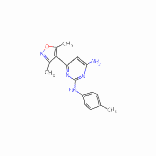 Cc1ccc(Nc2nc(N)cc(-c3c(C)noc3C)n2)cc1